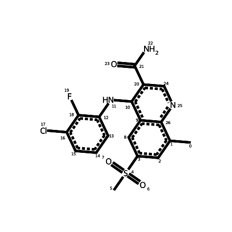 Cc1cc(S(C)(=O)=O)cc2c(Nc3cccc(Cl)c3F)c(C(N)=O)cnc12